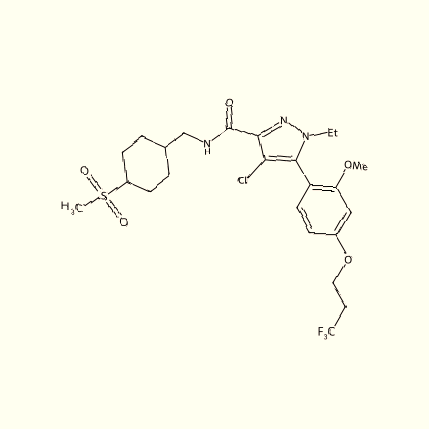 CCn1nc(C(=O)NCC2CCC(S(C)(=O)=O)CC2)c(Cl)c1-c1ccc(OCCC(F)(F)F)cc1OC